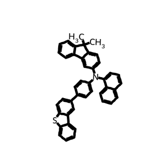 CC1(C)c2ccccc2-c2cc(N(c3ccc(-c4ccc5sc6ccccc6c5c4)cc3)c3cccc4ccccc34)ccc21